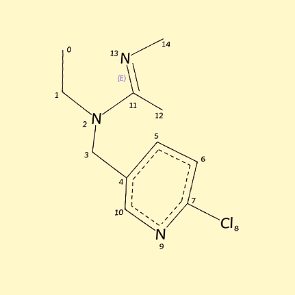 CCN(Cc1ccc(Cl)nc1)/C(C)=N/C